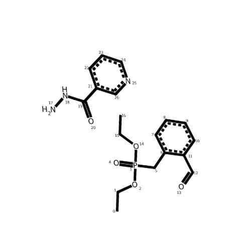 CCOP(=O)(Cc1ccccc1C=O)OCC.NNC(=O)c1cccnc1